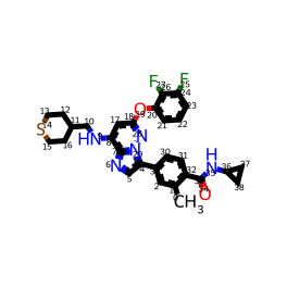 Cc1cc(-c2cnc3c(NCC4CCSCC4)cc(Oc4cccc(F)c4F)nn23)ccc1C(=O)NC1CC1